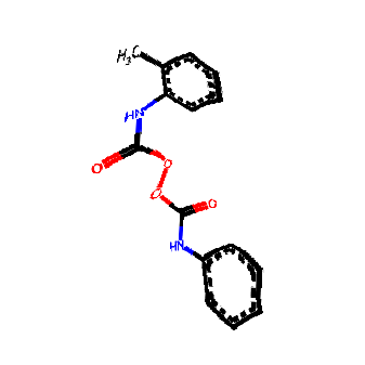 Cc1ccccc1NC(=O)OOC(=O)Nc1ccccc1